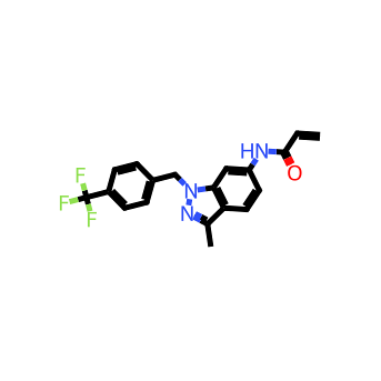 C=CC(=O)Nc1ccc2c(C)nn(Cc3ccc(C(F)(F)F)cc3)c2c1